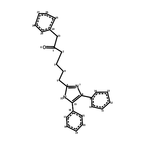 O=C(CCCCC1=NC(c2ccccc2)=C(c2ccccc2)[N]1)Cc1ccccc1